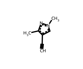 C#Cc1cn(C)nc1C